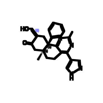 Cc1nc(-c2cn[nH]c2)c2c(n1)[C@@]1(c3ccccc3)C/C(=C/O)C(=O)C[C@]1(C)CC2